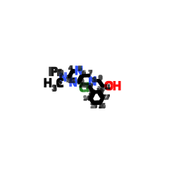 CC(C)N(C)c1cnc(CN(CCO)Cc2ccccc2)c(Cl)n1